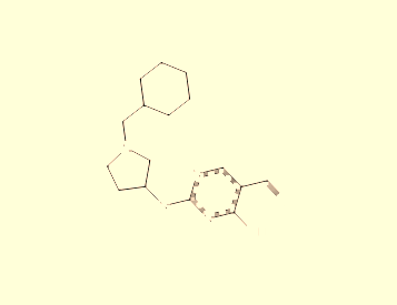 Cc1nc(NC2CCN(CC3CCCCC3)C2)ncc1C=O